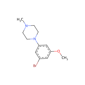 COc1cc(Br)cc(N2CCN(C)CC2)c1